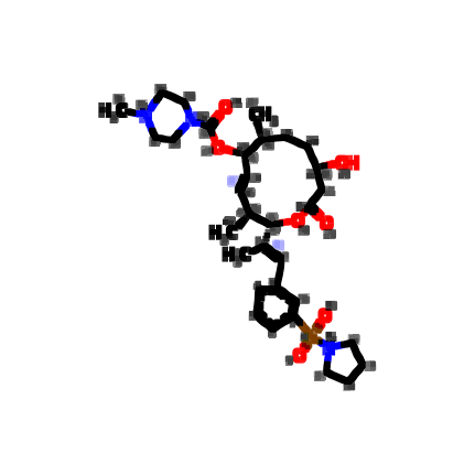 C/C(=C\c1cccc(S(=O)(=O)N2CCCC2)c1)[C@H]1OC(=O)C[C@H](O)CC[C@H](C)[C@H](OC(=O)N2CCN(C)CC2)/C=C/[C@@H]1C